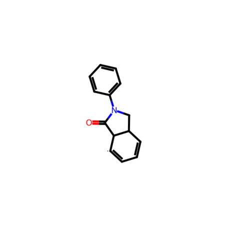 O=C1C2[C]=CC=CC2CN1c1ccccc1